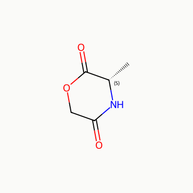 C[C@@H]1NC(=O)COC1=O